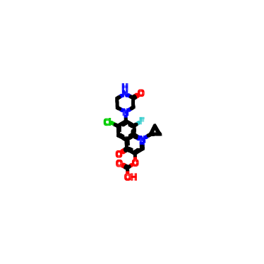 O=C1CN(c2c(Cl)cc3c(=O)c(OC(=O)O)cn(C4CC4)c3c2F)CCN1